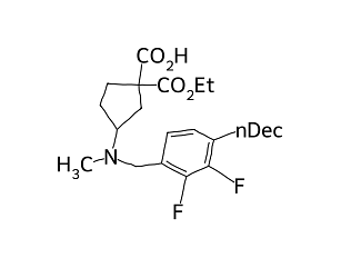 CCCCCCCCCCc1ccc(CN(C)C2CCC(C(=O)O)(C(=O)OCC)C2)c(F)c1F